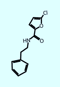 O=C(NCCc1ccccc1)c1ccc(Cl)o1